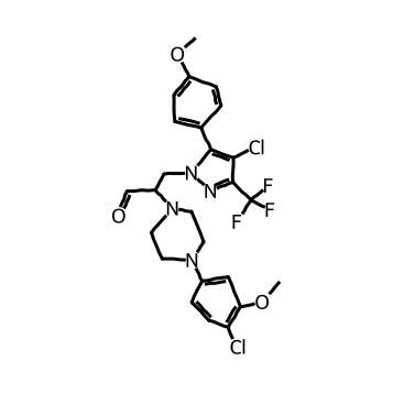 COc1ccc(-c2c(Cl)c(C(F)(F)F)nn2CC(C=O)N2CCN(c3ccc(Cl)c(OC)c3)CC2)cc1